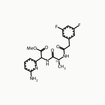 COC(=O)C(NC(=O)[C@H](C)NC(=O)Cc1cc(F)cc(F)c1)c1cccc(N)n1